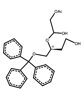 CC(=O)OCC(O)O[C@@H](CCO)COC(c1ccccc1)(c1ccccc1)c1ccccc1